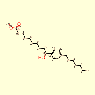 CCCCCCCc1ccc(C(O)CCCCCCCCC(=O)OC)cc1